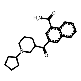 NC(=O)c1cc(C(=O)C2CCCN(C3CCCC3)C2)cc2ccccc12